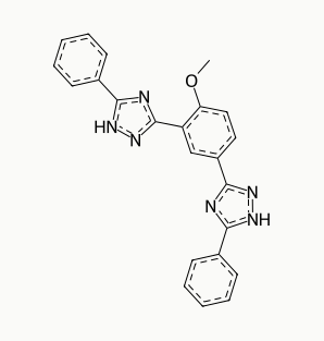 COc1ccc(-c2n[nH]c(-c3ccccc3)n2)cc1-c1n[nH]c(-c2ccccc2)n1